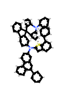 c1ccc(-c2cc3cc(N(c4ccc5c(c4)C4(c6ccccc6-5)c5ccccc5N(c5ccccc5)c5ccccc54)c4cc5cccc(-c6ccccc6)c5s4)ccc3c3ccccc23)cc1